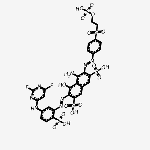 Nc1c(/N=N/c2ccc(S(=O)(=O)CCOS(=O)(=O)O)cc2)c(S(=O)(=O)O)cc2cc(S(=O)(=O)O)c(/N=N/c3cc(Nc4cc(F)nc(F)n4)ccc3S(=O)(=O)O)c(O)c12